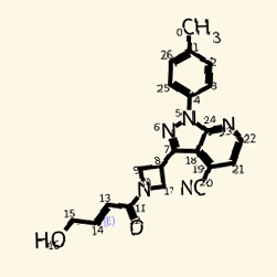 Cc1ccc(-n2nc(C3CN(C(=O)/C=C/CO)C3)c3c(C#N)ccnc32)cc1